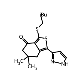 CCC(C)CSc1sc(-c2cc[nH]n2)c2c1C(=O)CC(C)(C)C2